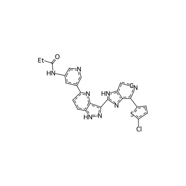 CCC(=O)Nc1cncc(-c2ccc3[nH]nc(-c4nc5c(-c6ccc(Cl)s6)nccc5[nH]4)c3n2)c1